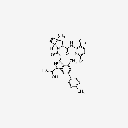 Cc1ncc(-c2cc(C)c3c(c2)c(C(C)O)nn3CC(=O)N2[C@H](C(=O)Nc3nc(Br)ccc3C)C[C@@]3(C)C#C[C@@H]23)cn1